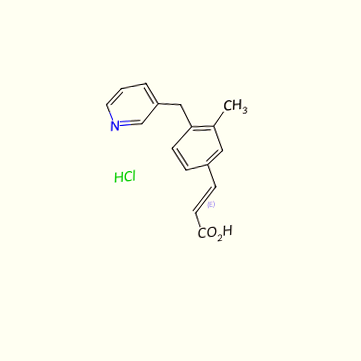 Cc1cc(/C=C/C(=O)O)ccc1Cc1cccnc1.Cl